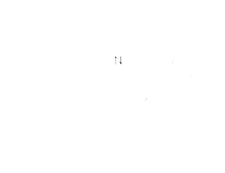 C=C(C)/C(C)=N/c1ccccc1